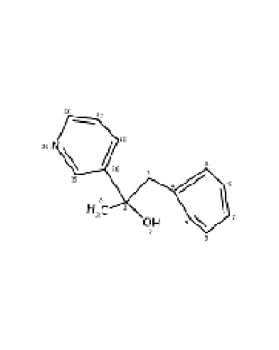 CC(O)(Cc1ccccc1)c1cccnc1